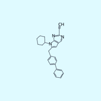 C#Cc1ncc2cc(Cc3ccc(-c4ccccc4)cc3)n(C3CCCCC3)c2n1